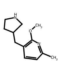 COc1nc(C)ccc1CC1CCNC1